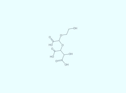 O=C(O)C(OCCO)OC(C(=O)O)C(O)C(=O)O